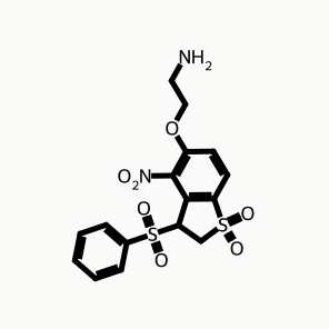 NCCOc1ccc2c(c1[N+](=O)[O-])C(S(=O)(=O)c1ccccc1)CS2(=O)=O